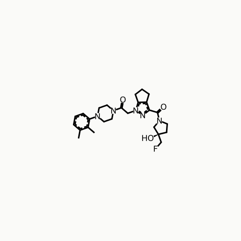 Cc1cccc(N2CCN(C(=O)Cn3nc(C(=O)N4CC[C@](O)(CF)C4)c4c3CCC4)CC2)c1C